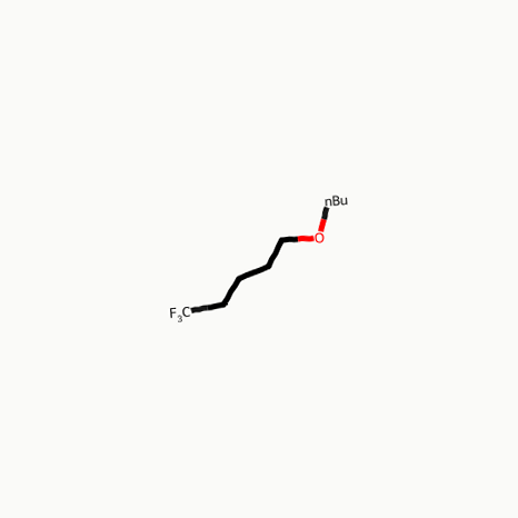 CCCCOCCC[CH]C(F)(F)F